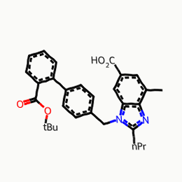 CCCc1nc2c(C)cc(C(=O)O)cc2n1Cc1ccc(-c2ccccc2C(=O)OC(C)(C)C)cc1